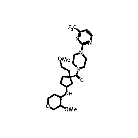 COCC[C@]1(C(=O)N2CCN(c3nccc(C(F)(F)F)n3)CC2)CC[C@H](NC2CCOCC2OC)C1